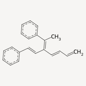 C=CC=CC(C=Cc1ccccc1)=C(C)c1ccccc1